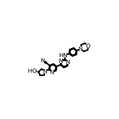 N#Cc1cc(-c2ccnc(Nc3ccc(N4CCOCC4)cc3)n2)cnc1N1CC[C@H](O)C1